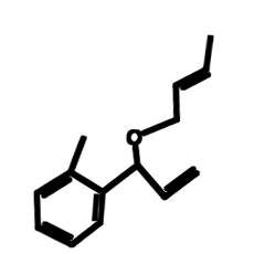 C=CC(OC/C=C/C)c1ccccc1C